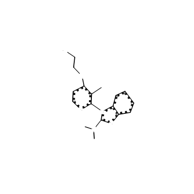 Cc1c(OCCO)ccnc1-n1c([S+](C)[O-])nc2ccccc21